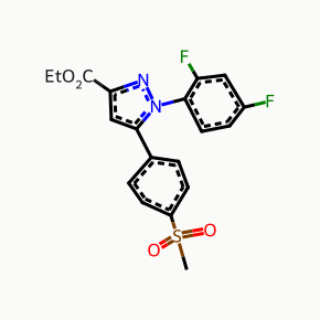 CCOC(=O)c1cc(-c2ccc(S(C)(=O)=O)cc2)n(-c2ccc(F)cc2F)n1